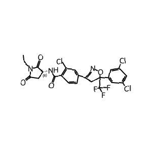 CCN1C(=O)C[C@@H](NC(=O)c2ccc(C3=NOC(c4cc(Cl)cc(Cl)c4)(C(F)(F)F)C3)cc2Cl)C1=O